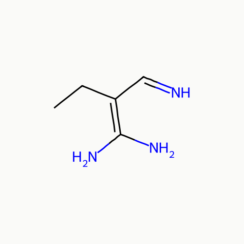 CCC(C=N)=C(N)N